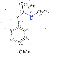 CCOC(=O)[C@H](Cc1ccc(OC)cc1)NC=O